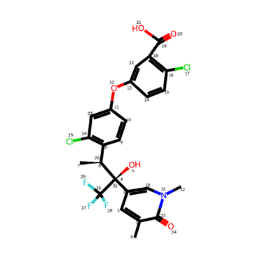 Cc1cc([C@@](O)([C@@H](C)c2ccc(Oc3ccc(Cl)c(C(=O)O)c3)cc2Cl)C(F)(F)F)cn(C)c1=O